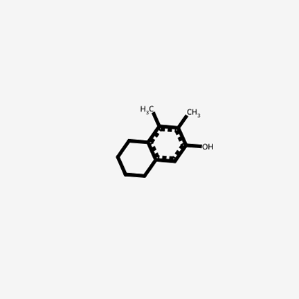 Cc1c(O)cc2c(c1C)CCCC2